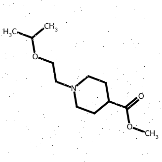 COC(=O)C1CCN(CCOC(C)C)CC1